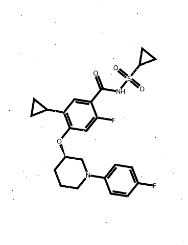 O=C(NS(=O)(=O)C1CC1)c1cc(C2CC2)c(O[C@@H]2CCCN(c3ccc(F)cc3)C2)cc1F